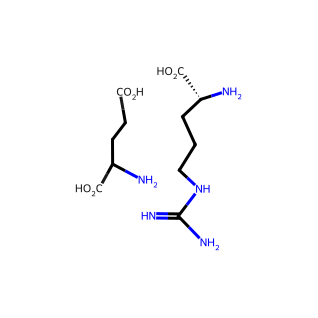 N=C(N)NCCC[C@@H](N)C(=O)O.NC(CCC(=O)O)C(=O)O